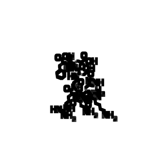 N=C(N)NCCC[C@H](NC(=O)[C@H](CC(N)=O)NC(=O)[C@H](Cc1c[nH]cn1)NC(=O)[C@@H](N)CCCCN)C(=O)NCC(=O)N[C@@H](CC(=O)O)C(=O)N[C@@H](CCC(=O)O)C(=O)N[C@@H](Cc1ccccc1)C(=O)O